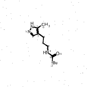 Cc1[nH]ncc1CCCNC(=O)C(C)(C)C